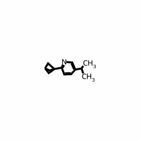 CC(C)c1ccc(C23CC(C2)C3)nc1